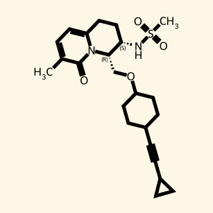 Cc1ccc2n(c1=O)[C@@H](COC1CCC(C#CC3CC3)CC1)[C@@H](NS(C)(=O)=O)CC2